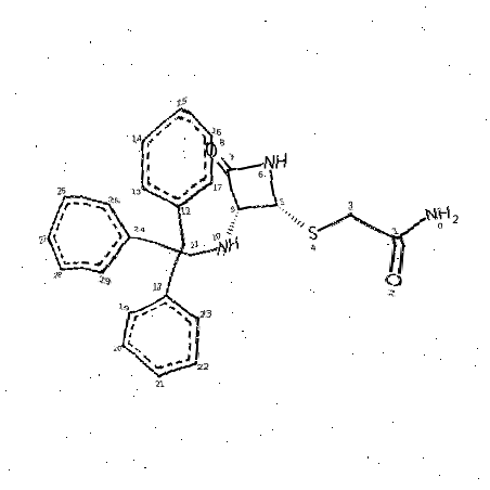 NC(=O)CS[C@H]1NC(=O)[C@H]1NC(c1ccccc1)(c1ccccc1)c1ccccc1